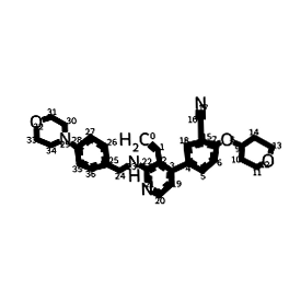 C=Cc1c(-c2ccc(OC3CCOCC3)c(C#N)c2)ccnc1NCc1ccc(N2CCOCC2)cc1